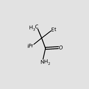 CCC(C)(C(N)=O)C(C)C